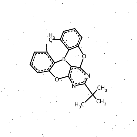 Cc1cccc2c1B1c3c(I)cccc3Oc3nc(C(C)(C)C)nc(c31)O2